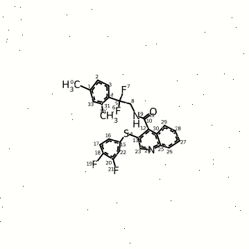 Cc1ccc(C(F)(F)CNC(=O)c2c(Sc3ccc(F)c(F)c3)cnc3ccccc23)c(C)c1